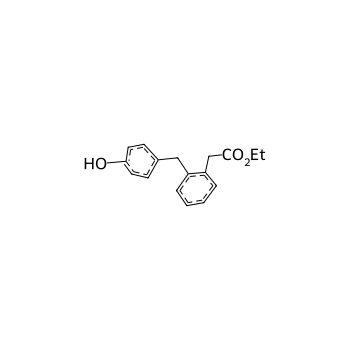 CCOC(=O)Cc1ccccc1Cc1ccc(O)cc1